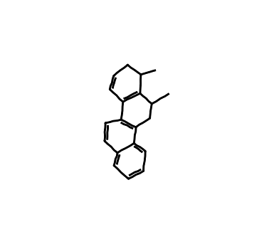 CC1CC=CC2=C1C(C)Cc1c2ccc2ccccc12